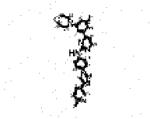 Cc1ccc(-c2cn(-c3ccc(Nc4nccc(-c5cc(F)cc(N6CCOCC6)c5)n4)cc3)nn2)cn1